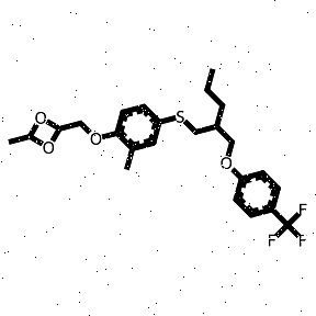 CCCC(COc1ccc(C(F)(F)F)cc1)CSc1ccc(OCC2OC(C)O2)c(C)c1